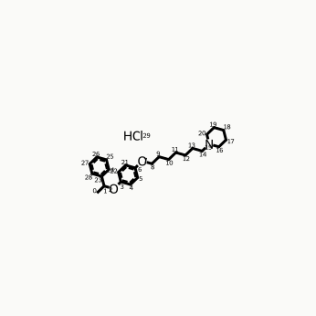 CC(Oc1ccc(OCCCCCCCN2CCCCC2)cc1)c1ccccc1.Cl